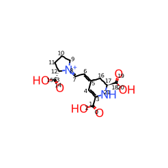 O=C(O)C1=C/C(=C\C=[N+]2/CCC[C@H]2C(=O)O)C[C@@H](C(=O)O)N1